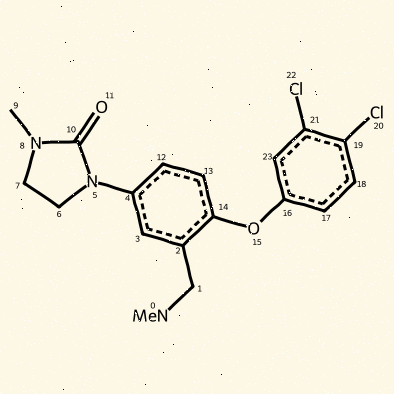 CNCc1cc(N2CCN(C)C2=O)ccc1Oc1ccc(Cl)c(Cl)c1